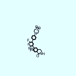 Nc1nc(F)c(-c2ccc(N3CCS(=O)(=O)CC3)cc2)cc1-c1cc2c(cc1F)C(=O)NCC2